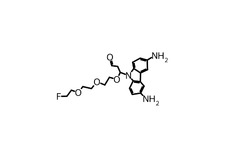 Nc1ccc2c(c1)c1cc(N)ccc1n2C(CC=O)OCCOCCOCCF